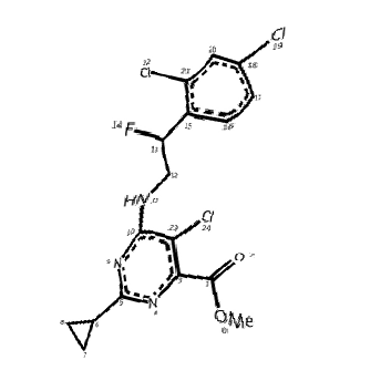 COC(=O)c1nc(C2CC2)nc(NCC(F)c2ccc(Cl)cc2Cl)c1Cl